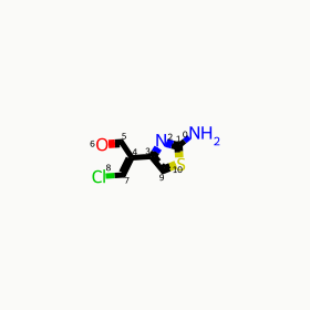 Nc1nc(C(C=O)=CCl)cs1